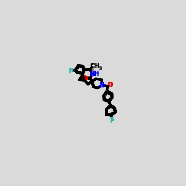 C[C@H](NC(=O)C1(CC2CC2)CCN(C(=O)c2ccc(-c3ccc(F)cc3)cc2)CC1)c1ccc(F)cc1